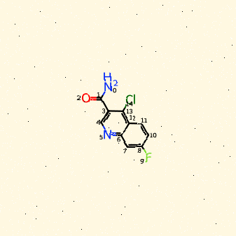 NC(=O)c1cnc2cc(F)ccc2c1Cl